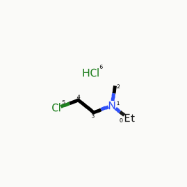 CCN(C)CCCl.Cl